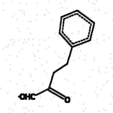 O=[C]C(=O)CCc1ccccc1